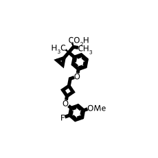 COc1ccc(F)c(OC2CC(COc3cccc([C@](C)(C4CC4)[C@H](C)C(=O)O)c3)C2)c1